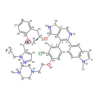 Cc1c(-c2c(-c3ccc4c(ccn4C)c3)ncc3snc(O[C@H](Cc4ccccc4OCc4ccnn4CC(F)(F)F)C(=O)O)c23)ccc(OCCN2CCN(C)CC2)c1Cl